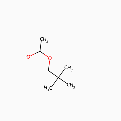 CC([O])OCC(C)(C)C